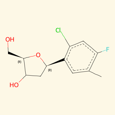 Cc1cc([C@H]2CC(O)[C@@H](CO)O2)c(Cl)cc1F